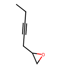 CCC#CCC1CO1